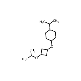 CC(C)O[C@H]1C[C@@H](OC2CCN(C(C)C)CC2)C1